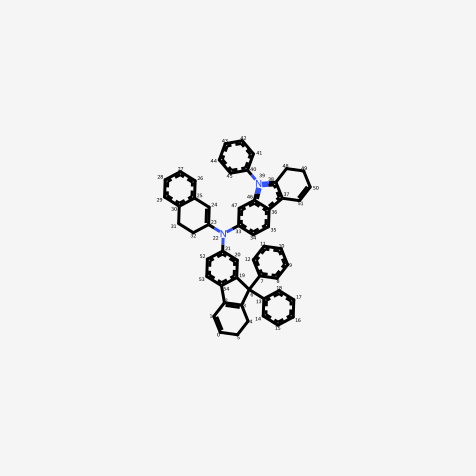 C1=CC2=C(CC1)C(c1ccccc1)(c1ccccc1)c1cc(N(C3=Cc4ccccc4CC3)c3ccc4c5c(n(-c6ccccc6)c4c3)CCC=C5)ccc12